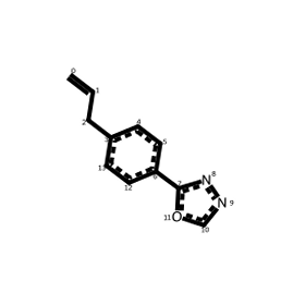 C=CCc1ccc(-c2nnco2)cc1